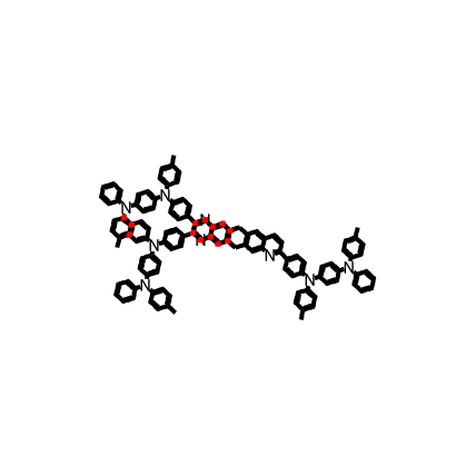 Cc1ccc(N(c2ccccc2)c2ccc(N(c3ccc(C)cc3)c3ccc(-c4ccc5cc6c(cc5n4)C4c5cc7ccc(-c8ccc(N(c9ccc(C)cc9)c9ccc(N(c%10ccccc%10)c%10ccc(C)cc%10)cc9)cc8)nc7cc5C6c5cc6nc(-c7ccc(N(c8ccc(C)cc8)c8ccc(N(c9ccccc9)c9ccc(C)cc9)cc8)cc7)ccc6cc54)cc3)cc2)cc1